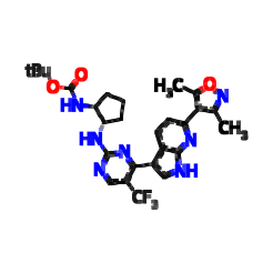 Cc1noc(C)c1-c1ccc2c(-c3nc(N[C@H]4CCC[C@@H]4NC(=O)OC(C)(C)C)ncc3C(F)(F)F)c[nH]c2n1